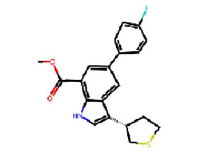 COC(=O)c1cc(-c2ccc(F)cc2)cc2c([C@@H]3CCSC3)c[nH]c12